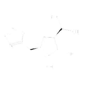 CC(C)[C@@H]1C[C@H](Cc2nccs2)[C@@H](O)[C@H]1O